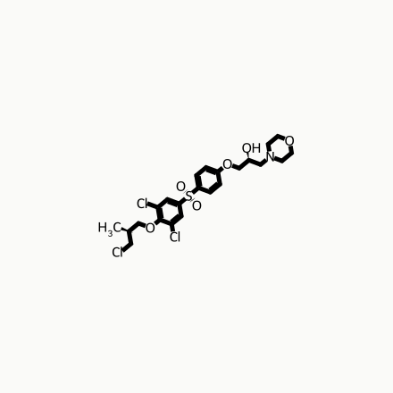 C[C@H](CCl)COc1c(Cl)cc(S(=O)(=O)c2ccc(OC[C@H](O)CN3CCOCC3)cc2)cc1Cl